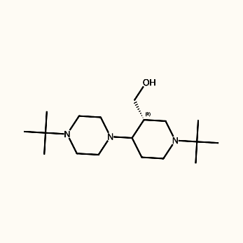 CC(C)(C)N1CCN(C2CCN(C(C)(C)C)C[C@H]2CO)CC1